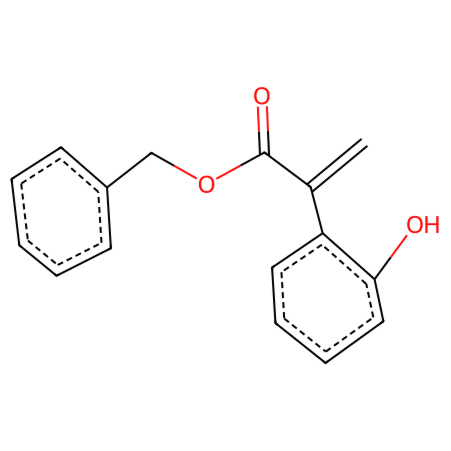 C=C(C(=O)OCc1ccccc1)c1ccccc1O